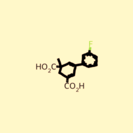 CC1(C(=O)O)C=C(c2cccc(F)c2)C=C(C(=O)O)C1